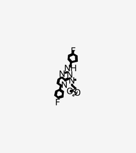 CN(CCS(C)(=O)=O)c1nc(NCc2ccc(F)cc2)nc2ccc(-c3ccc(F)cc3)nc12